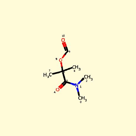 CN(C)C(=O)C(C)(C)OC=O